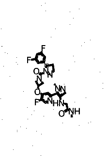 CNC(=O)CNc1cnn(C)c1-c1cc(OC2CN(C(=O)N3N=CC[C@H]3c3cc(F)cc(F)c3)C2)c(F)cn1